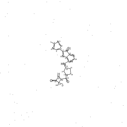 CCn1c(-c2cnc(C)nc2)nc2c(N[C@H]3CCN(C(=O)C4NC(=O)C4(C)C)C3)ncnc21